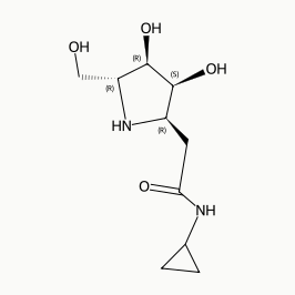 O=C(C[C@H]1N[C@H](CO)[C@@H](O)[C@H]1O)NC1CC1